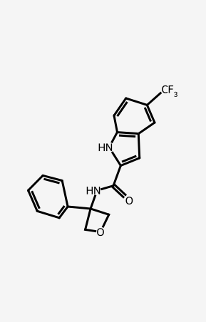 O=C(NC1(c2ccccc2)COC1)c1cc2cc(C(F)(F)F)ccc2[nH]1